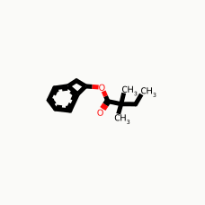 CCC(C)(C)C(=O)OC1Cc2ccccc21